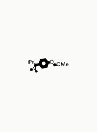 COCOc1ccc([C@@H](C(C)C)N(C)C)cc1